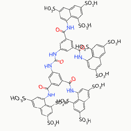 O=C(Nc1cc(C(=O)Nc2cc(S(=O)(=O)O)cc3cc(S(=O)(=O)O)cc(S(=O)(=O)O)c23)cc(C(=O)Nc2cc(S(=O)(=O)O)cc3cc(S(=O)(=O)O)cc(S(=O)(=O)O)c23)c1)Nc1cc(C(=O)Nc2cc(S(=O)(=O)O)cc3cc(S(=O)(=O)O)cc(S(=O)(=O)O)c23)cc(C(=O)Nc2cc(S(=O)(=O)O)cc3cc(S(=O)(=O)O)cc(S(=O)(=O)O)c23)c1